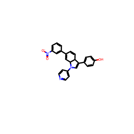 O=[N+]([O-])c1cccc(C2=CC3C(C=C2)C(c2ccc(O)cc2)=CN3c2ccncc2)c1